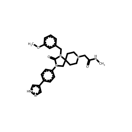 CNC(=O)CN1CCC2(CC1)CN(c1ccc(-c3cn[nH]c3)cc1)C(=O)N2Cc1cccc(OC)c1